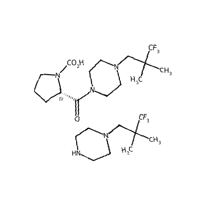 CC(C)(CN1CCN(C(=O)[C@@H]2CCCN2C(=O)O)CC1)C(F)(F)F.CC(C)(CN1CCNCC1)C(F)(F)F